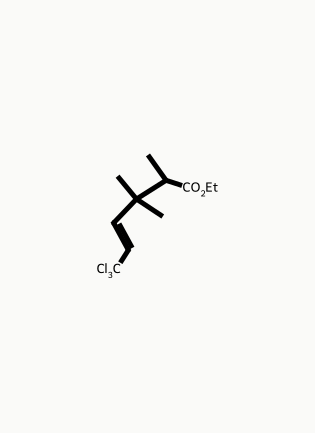 CCOC(=O)C(C)C(C)(C)C=CC(Cl)(Cl)Cl